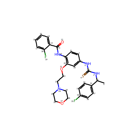 CC(NC(=S)Nc1ccc(NC(=O)c2ccccc2F)c(OCCN2CCOCC2)c1)c1ccc(F)cc1